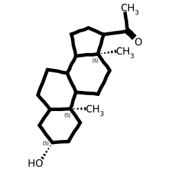 CC(=O)C1CCC2C3CCC4C[C@@H](O)CC[C@]4(C)C3CC[C@]12C